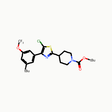 CC(C)(C)OC(=O)N1CCC(c2nc(-c3cc(OC(F)(F)F)cc(C(C)(C)C)c3)c(Cl)s2)CC1